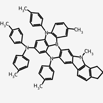 Cc1ccc(N(c2ccc(C)cc2)c2cc3c4c(c2)N(c2ccc(C)cc2)c2cc5c6ccc7c(c6n(C)c5cc2B4c2cc(C)ccc2N3c2ccc(C)cc2)CCC7)cc1